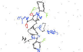 Cn1c(-c2ccncc2F)nc2c(N3CC[C@H](N)C3)c(-c3cnn(-c4c(F)cccc4F)c(=O)c3C(N)=O)ccc21